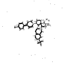 CC(C)[C@]1(C(=O)N2CCc3ccc(C(F)(F)F)cc3C2)CC[C@@H](N2CCC(c3ccc(F)cc3)CC2)C1